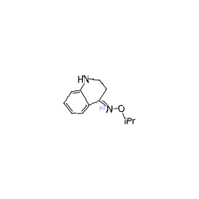 CC(C)O/N=C1\CCNc2ccccc21